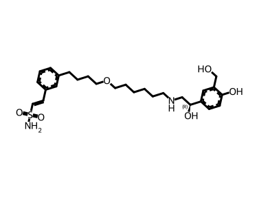 NS(=O)(=O)C=Cc1cccc(CCCCOCCCCCCNC[C@H](O)c2ccc(O)c(CO)c2)c1